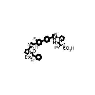 CCN(CC)C(C(=O)N1CCCC1c1ncc(-c2ccc(-c3ccc(-c4cnc([C@@H]5CCCN5C(=O)[C@H](C(C)C)N(C)C(=O)O)[nH]4)cc3)cc2F)[nH]1)c1ccccc1